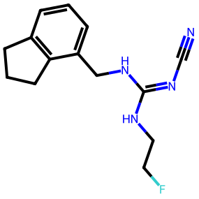 N#C/N=C(/NCCF)NCc1cccc2c1CCC2